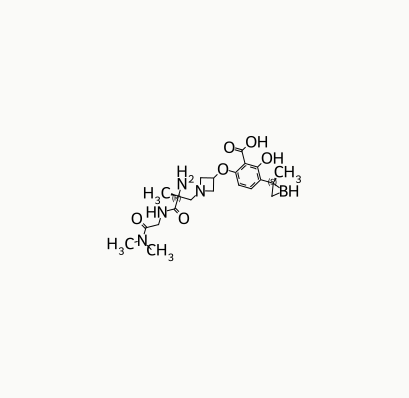 CN(C)C(=O)CNC(=O)[C@](C)(N)CN1CC(Oc2ccc([C@]3(C)BC3)c(O)c2C(=O)O)C1